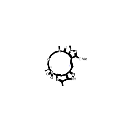 COc1nn(C)c2c1/C=C/c1n[nH]c3c(C)nc(cc13)S(=O)(=O)[C@@H](C)COCCN(C)C2=O